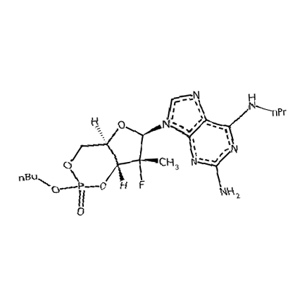 CCCCOP1(=O)OC[C@H]2O[C@@H](n3cnc4c(NCCC)nc(N)nc43)[C@](C)(F)[C@@H]2O1